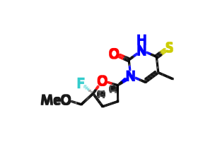 COC[C@]1(F)CC[C@H](n2cc(C)c(=S)[nH]c2=O)O1